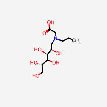 CCCN(CC(=O)O)C[C@@H](O)[C@H](O)[C@@H](O)[C@@H](O)CO